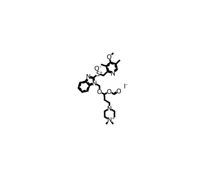 COc1c(C)cnc(C[S+]([O-])c2nc3ccccc3n2COC(CCN2CC[N+](C)(C)CC2)OC=O)c1C.[I-]